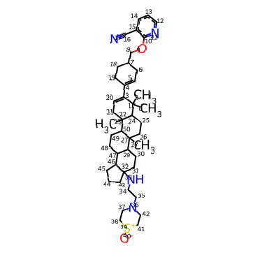 CC1(C)C(C2=CCC(COc3ncccc3C#N)CC2)=CCC2(C)C1CCC1(C)C3CCC4(NCCN5CC[S+]([O-])CC5)CCCC4C3CCC12